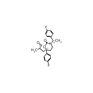 CC(C[C@]1(c2ccc(F)cc2)CCN([C@@H](C)c2ccc(F)cc2)C(=O)O1)N=O